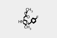 CCOC(=O)C[C@H]1CN(Cc2ccc(F)cc2)C(C)CN1